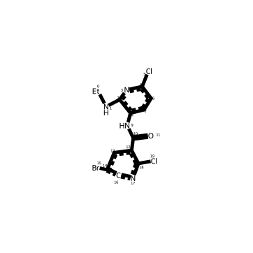 CCNc1nc(Cl)ccc1NC(=O)c1cc(Br)cnc1Cl